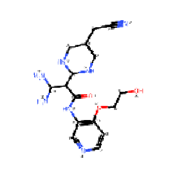 N#CCC1CNC(C(C(=O)Nc2cnccc2OCCO)C(N)N)NC1